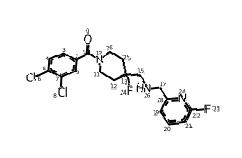 O=C(c1ccc(Cl)c(Cl)c1)N1CCC(F)(CNCc2cccc(F)n2)CC1